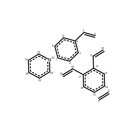 C=C.C=Cc1ccccc1.C=Cc1ccccc1C=C.c1ccncc1